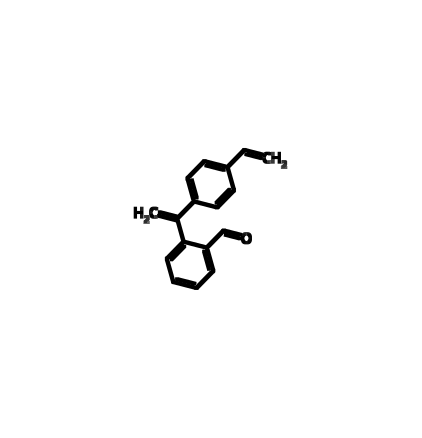 C=Cc1ccc(C(=C)c2ccccc2C=O)cc1